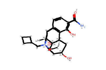 NC(=O)c1ccc2c(c1O)[C@]13CCN(CC4CCC4)[C@H](C2)[C@]1(O)CC[C@H](O)C3